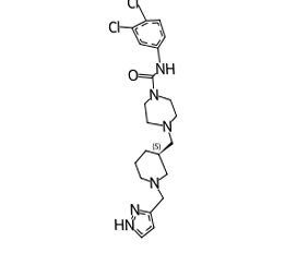 O=C(Nc1ccc(Cl)c(Cl)c1)N1CCN(C[C@@H]2CCCN(Cc3cc[nH]n3)C2)CC1